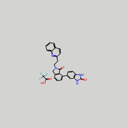 O=C(O)C(F)(F)F.O=C1c2c(cccc2-c2ccc3[nH]c(=O)[nH]c3c2)CN1CCc1ccc2ccccc2n1